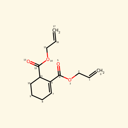 C=CCOC(=O)C1=CCCCC1C(=O)OCC=C